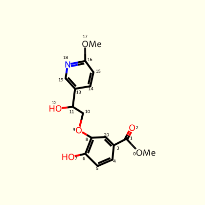 COC(=O)c1ccc(O)c(OCC(O)c2ccc(OC)nc2)c1